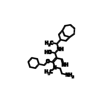 CC(NC(O)/C(C=N)=C(\OCC1CCCCC1)N(C)CCN)C1CC2CCCCC(C2)C1